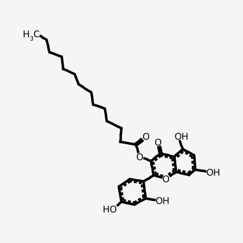 CCCCCCCCCCCCCC(=O)Oc1c(-c2ccc(O)cc2O)oc2cc(O)cc(O)c2c1=O